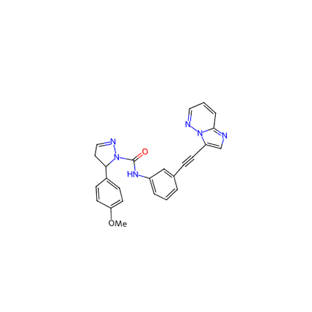 COc1ccc(C2CC=NN2C(=O)Nc2cccc(C#Cc3cnc4cccnn34)c2)cc1